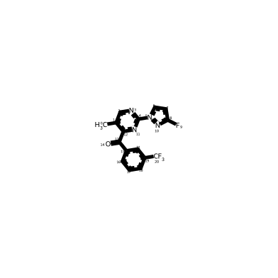 Cc1cnc(-n2ccc(F)n2)nc1C(=O)c1cccc(C(F)(F)F)c1